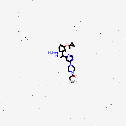 C=C(C1=CC(OC2(C)CC2)=CC[C@H]1NN)c1cc(N2CCN(C(=O)COC)CC2)ncn1